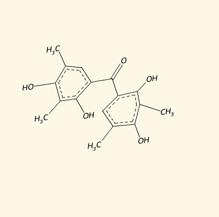 Cc1cc(C(=O)c2cc(C)c(O)c(C)c2O)c(O)c(C)c1O